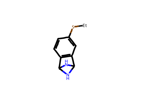 CCSc1ccc2c(c1)C1NC2N1